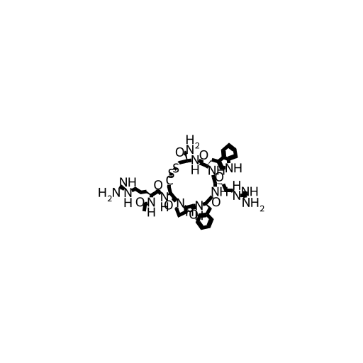 CC(=O)N[C@@H](CCCNC(=N)N)C(=O)N[C@H]1CCSSC[C@@H](C(N)=O)NC(=O)[C@H](Cc2c[nH]c3ccccc23)NC(=O)[C@H](CCCNC(=N)N)NC(=O)[C@@H](Cc2ccccc2)NC(=O)[C@H]2CCCN2C1=O